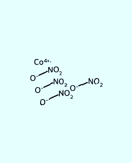 O=[N+]([O-])[O-].O=[N+]([O-])[O-].O=[N+]([O-])[O-].O=[N+]([O-])[O-].[Co+4]